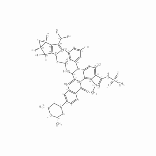 C[C@@H]1CN(c2ccc3c(=O)n(-c4ccc(Cl)c5c(NS(C)(=O)=O)nn(C)c45)c(C(Cc4cc(F)cc(F)c4)NC(=O)Cn4nc(C(F)F)c5c4C(F)(F)[C@@H]4C[C@H]54)nc3c2)C[C@H](C)O1